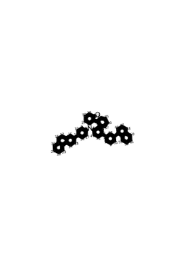 c1cc(-c2ccc(N(c3ccc(-c4ccc5c(ccc6ccccc65)c4)cc3)c3cccc4oc5ccccc5c34)cc2)cc(-c2cccc3ccccc23)c1